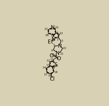 CCn1c(CN2CCN(S(=O)(=O)c3cc4ccc(Cl)cc4s3)CC2)cc2cnccc21